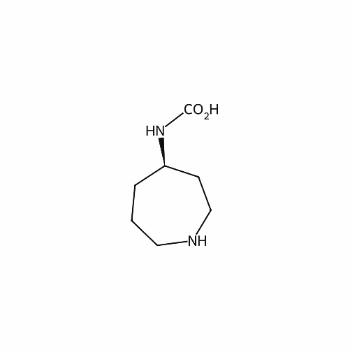 O=C(O)N[C@@H]1CCCNCC1